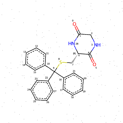 O=C1CNC(=O)[C@H](CSC(c2ccccc2)(c2ccccc2)c2ccccc2)N1